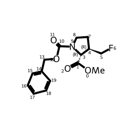 COC(=O)[C@H]1[C@H](CF)CCN1C(=O)OCc1ccccc1